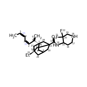 C=C(/C=C\C=C/C)[C@]12CC3CC(C(=O)NC4CCNCC4(F)F)(C[C@](CC)(C3)C1)C2